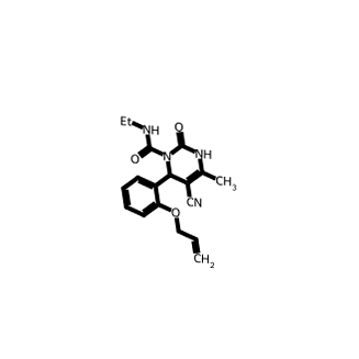 C=CCOc1ccccc1C1C(C#N)=C(C)NC(=O)N1C(=O)NCC